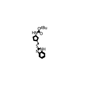 CC(C)(C)OC(=O)N[C@@H]1CC[C@H](CSc2nc3ccccc3[nH]2)C1